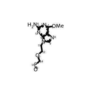 COc1nc(N)nc2c1ncn2CCOCP=O